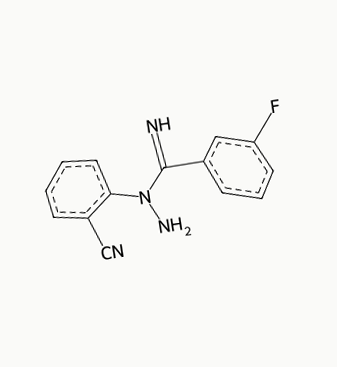 N#Cc1ccccc1N(N)C(=N)c1cccc(F)c1